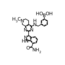 CN1CCc2c(nc(-c3n[nH]c4c(C(N)=O)cccc34)nc2NCc2cccc(B(O)O)c2)C1